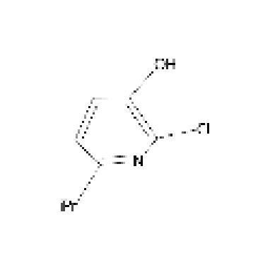 CC(C)c1ccc(O)c(Cl)n1